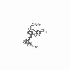 CCCCCS(=O)(=O)NCC=Cc1ccc(OCCOC)cc1Oc1ncc(C(F)(F)F)cc1Cl